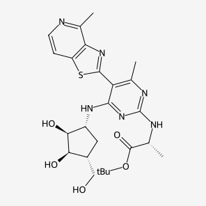 Cc1nc(N[C@H](C)C(=O)OC(C)(C)C)nc(N[C@@H]2C[C@H](CO)[C@@H](O)[C@H]2O)c1-c1nc2c(C)nccc2s1